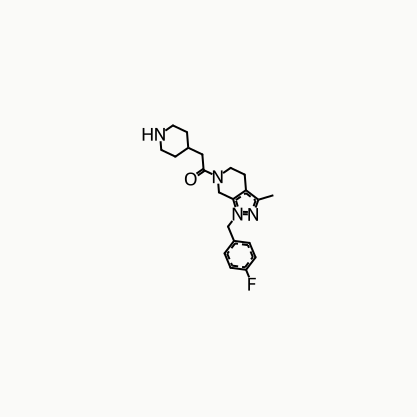 Cc1nn(Cc2ccc(F)cc2)c2c1CCN(C(=O)CC1CCNCC1)C2